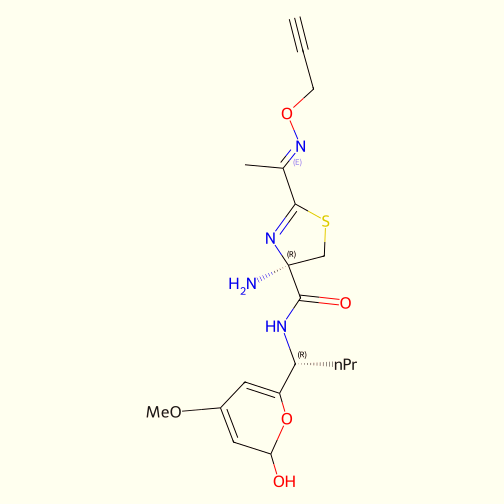 C#CCO/N=C(\C)C1=N[C@](N)(C(=O)N[C@H](CCC)C2=CC(OC)=CC(O)O2)CS1